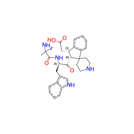 CC(C)(N)C(=O)N[C@H](Cc1c[nH]c2ccccc12)C(=O)[C@@H]1[C@H](CC(=O)O)c2ccccc2C12CCNCC2